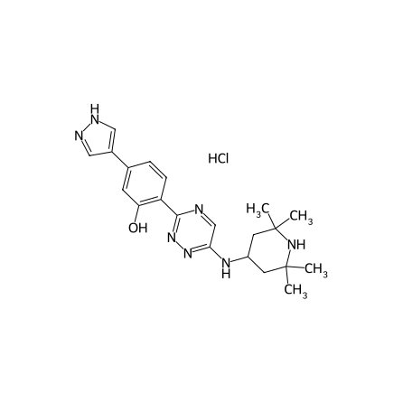 CC1(C)CC(Nc2cnc(-c3ccc(-c4cn[nH]c4)cc3O)nn2)CC(C)(C)N1.Cl